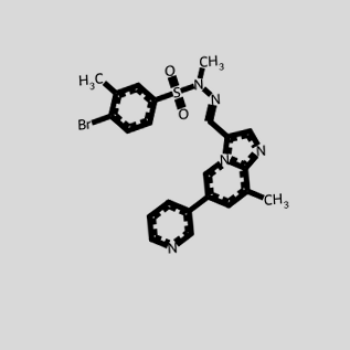 Cc1cc(S(=O)(=O)N(C)N=Cc2cnc3c(C)cc(-c4cccnc4)cn23)ccc1Br